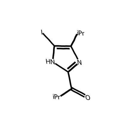 CC(C)C(=O)c1nc(C(C)C)c(I)[nH]1